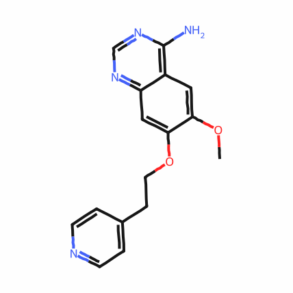 COc1cc2c(N)ncnc2cc1OCCc1ccncc1